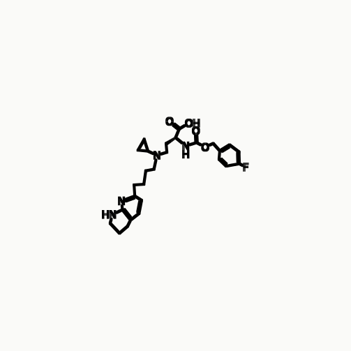 O=C(N[C@@H](CCN(CCCCc1ccc2c(n1)NCCC2)C1CC1)C(=O)O)OCc1ccc(F)cc1